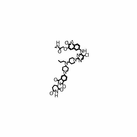 CCCN(C1CCN(c2ccc3c(c2)C(=O)N(C2CCC(=O)NC2=O)C3=O)CC1)C1CCN(c2ncc(Cl)c(Nc3ccc4c(c3)cc(OCC(=O)NC)c(=O)n4C)n2)CC1